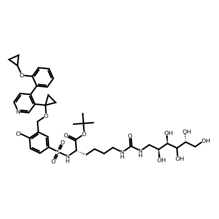 CC(C)(C)OC(=O)[C@H](CCCCNC(=O)NC[C@H](O)[C@@H](O)C(O)[C@H](O)CO)NS(=O)(=O)c1ccc(Cl)c(COC2(c3cnccc3-c3ccccc3OC3CC3)CC2)c1